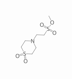 COS(=O)(=O)CCN1CCS(=O)(=O)CC1